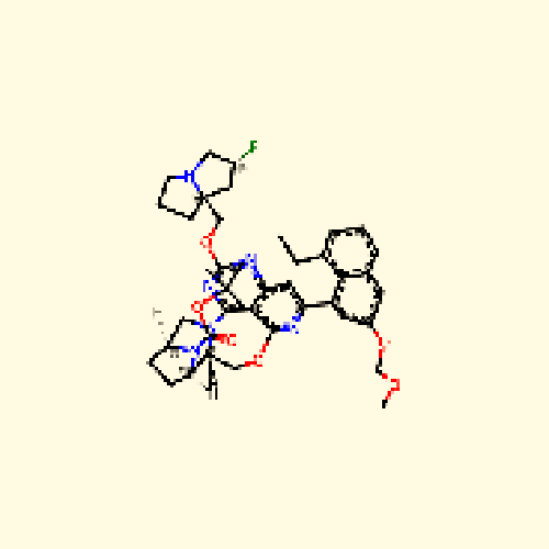 CCc1cccc2cc(OCOC)cc(-c3cc4nc(OC[C@@]56CCCN5C[C@H](F)C6)nc5c4c(n3)OC[C@@H]3[C@H]4CC[C@@H](CN53)N4C(=O)OC(C)(C)C)c12